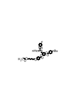 C=CC(=O)OCCCCCCOc1ccc(C(=O)Oc2ccc(OC(=O)C3CCC(CCCC)CC3)cc2/C=N/N(CCCCCC)c2nc3cc(F)ccc3s2)cc1